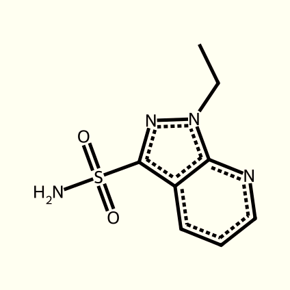 CCn1nc(S(N)(=O)=O)c2cccnc21